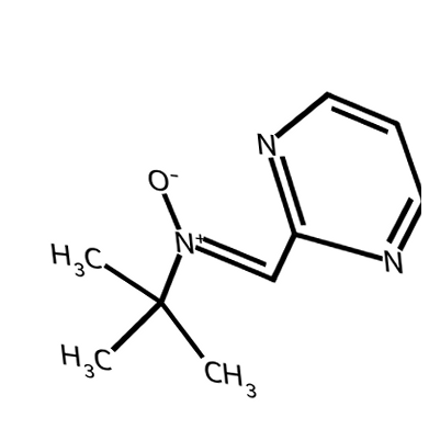 CC(C)(C)[N+]([O-])=Cc1ncccn1